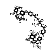 CCNC(=O)c1nnc(-c2cc(C(C)C)c(O)cc2O)n1-c1ccc(OC2CCN(C(=O)CCNC(=O)[C@H](N)CCC(=O)N3CCC(Oc4ccc(-n5c(C(=O)NCC)nnc5-c5cc(C(C)C)c(O)cc5O)cc4)CC3)CC2)cc1